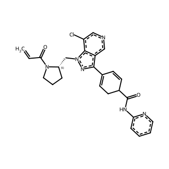 C=CC(=O)N1CCC[C@H]1Cn1nc(C2=CCC(C(=O)Nc3ccccn3)C=C2)c2cncc(Cl)c21